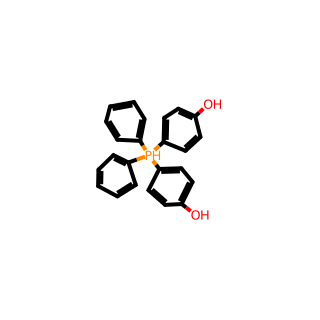 Oc1ccc([PH](c2ccccc2)(c2ccccc2)c2ccc(O)cc2)cc1